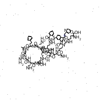 CNC(=O)c1ccccc1Sc1ccc2c(/C=C/c3ccccn3)nn(C(=O)N(CCNC(=O)CC[C@H](N)C(=O)O)CCC(=O)N[C@@H](CCN)C(=O)N[C@H](C(=O)NC(CCN)C(=O)N[C@H]3CCNC(=O)[C@@H]([C@H](C)O)NC(=O)[C@H](CCN)NC(=O)[C@H](CCN)NC(=O)[C@H](CC(C)C)NC(=O)[C@@H](CCc4ccccc4)NC(=O)[C@H](CCN)NC3=O)[C@@H](C)O)c2c1